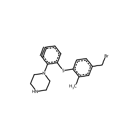 Cc1cc(CBr)ccc1Sc1ccc#cc1N1CCNCC1